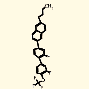 CCCCc1ccc2cc(-c3ccc(-c4ccc(OC(F)(F)F)c(F)c4)c(F)c3)ccc2c1